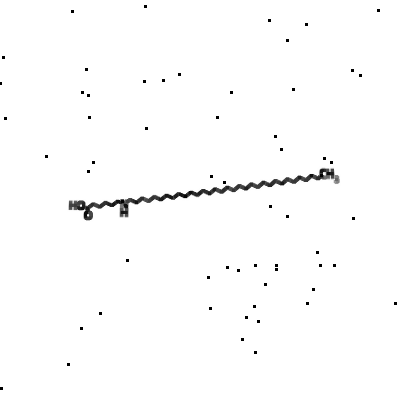 CCCCCCCCCCCCCCCCCCCCCCCCCCCCCCCCCNCCCCCC(=O)O